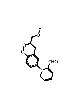 CCOCC1Cc2cc(N3CC=CC=C3C=O)ccc2OO1